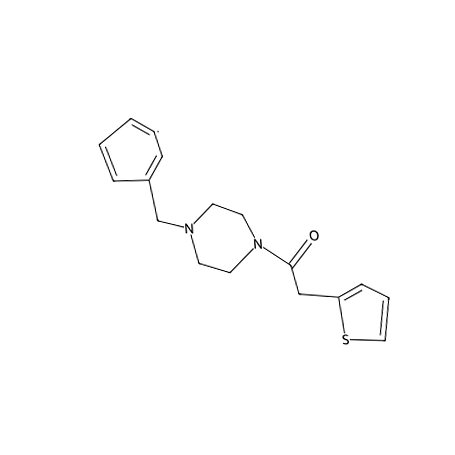 O=C(Cc1cccs1)N1CCN(Cc2c[c]ccc2)CC1